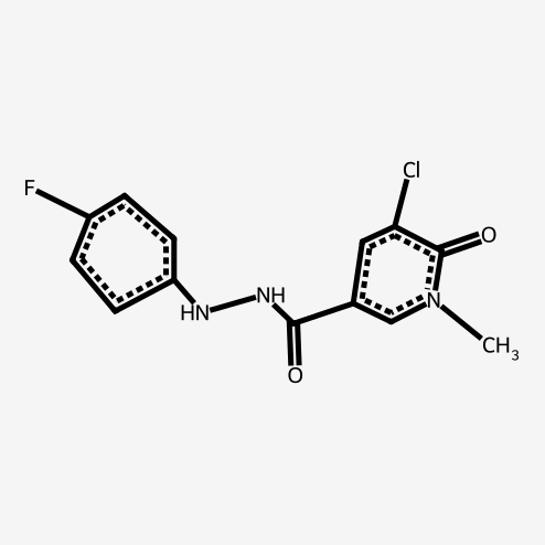 Cn1cc(C(=O)NNc2ccc(F)cc2)cc(Cl)c1=O